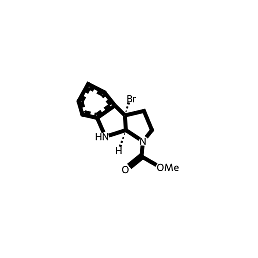 COC(=O)N1CC[C@]2(Br)c3ccccc3N[C@H]12